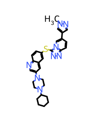 Cn1cc(-c2ccc3nnc(Sc4ccc5ncc(N6CCN(C7CCCCC7)CC6)cc5c4)n3c2)cn1